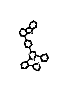 c1ccc(-c2cc(-c3ccc(-c4cccc5c4sc4ccccc45)cc3)nc(-c3ccccc3-c3cccnc3)n2)cc1